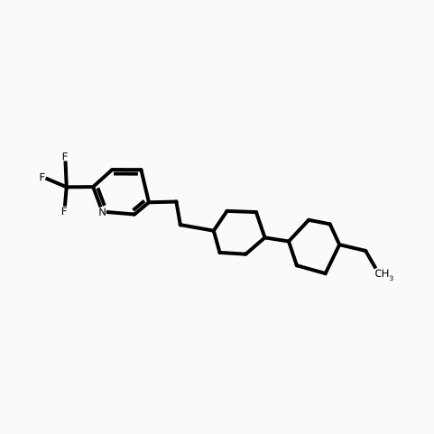 CCC1CCC(C2CCC(CCc3ccc(C(F)(F)F)nc3)CC2)CC1